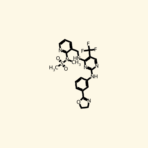 CN(c1ncccc1CNc1nc(Nc2cccc(C3=NCCO3)c2)ncc1C(F)(F)F)S(C)(=O)=O